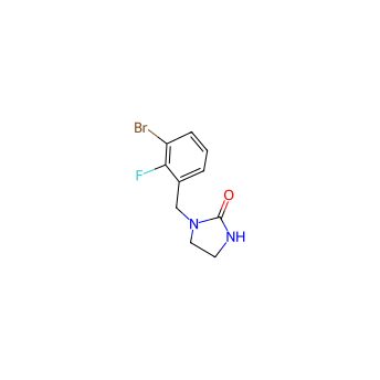 O=C1NCCN1Cc1cccc(Br)c1F